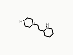 C1CCC(CCN2CCNCC2)NC1